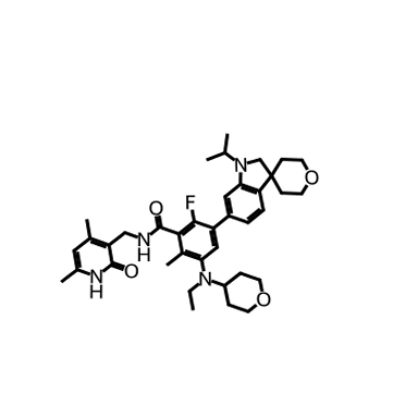 CCN(c1cc(-c2ccc3c(c2)N(C(C)C)CC32CCOCC2)c(F)c(C(=O)NCc2c(C)cc(C)[nH]c2=O)c1C)C1CCOCC1